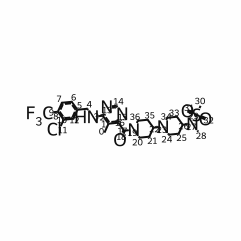 Cc1c(NCc2ccc(C(F)(F)F)c(Cl)c2)ncnc1C(=O)N1CCC(N2CCC(N(C)S(C)(=O)=O)CC2)CC1